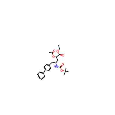 CCOC(=O)C(CC(Cc1ccc(-c2ccccc2)cc1)NC(=O)OC(C)(C)C)OC(C)=O